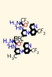 C[C@H]1C[C@@H](NC(=O)[C@@H](N)C(F)(F)F)CN(c2ccc(C(F)(F)F)c3ncccc23)C1.C[C@H]1C[C@@H](NC(=O)[C@H](N)C(F)(F)F)CN(c2ccc(C(F)(F)F)c3ncccc23)C1